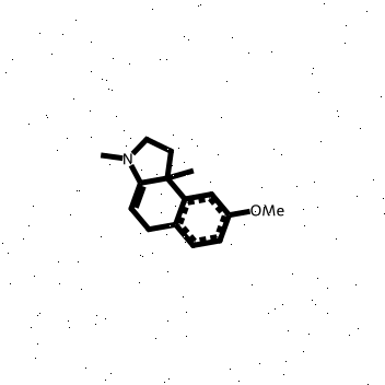 COc1ccc2c(c1)C1(C)CCN(C)C1=CC2